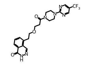 O=C(CCOCCc1cccc2c(=O)[nH]ncc12)N1CCN(c2ncc(C(F)(F)F)cn2)CC1